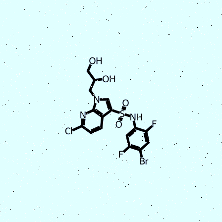 O=S(=O)(Nc1cc(F)c(Br)cc1F)c1cn(CC(O)CO)c2nc(Cl)ccc12